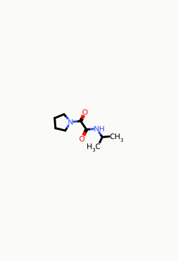 CC(C)NC(=O)C(=O)N1CCCC1